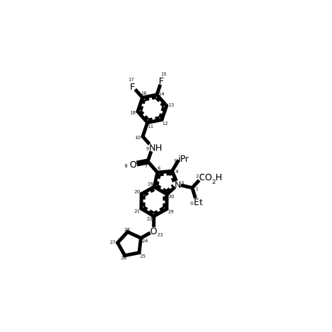 CCC(C(=O)O)n1c(C(C)C)c(C(=O)NCc2ccc(F)c(F)c2)c2ccc(OC3CCCC3)cc21